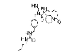 CCCCNC(=O)NCc1ccc(CN2C(=N)NC(CCCC)(C3CCCN(C(C)=O)C3)C2=O)cc1